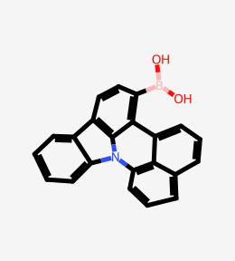 OB(O)c1ccc2c3ccccc3n3c4cccc5cccc(c1c23)c54